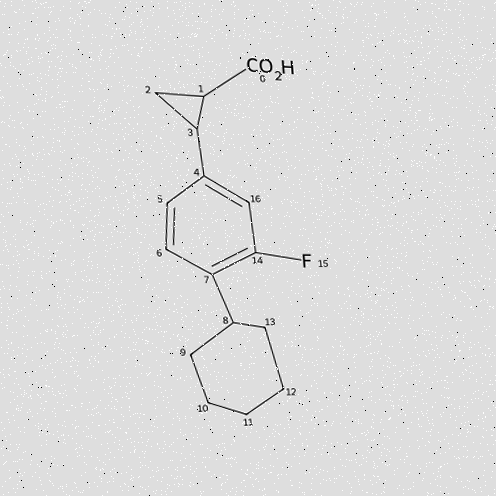 O=C(O)C1CC1c1ccc(C2CCCCC2)c(F)c1